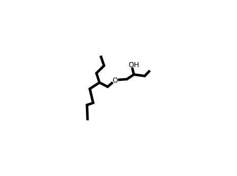 CCCCC(CCC)COCC(O)CC